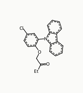 CCC(=O)COc1ccc(Cl)cc1-n1c2ccccc2c2ccccc21